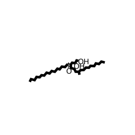 CCCCCCCCCCCCCCCCN(CC(O)CO)C(=O)CCC(C)CCCCCCCCCC